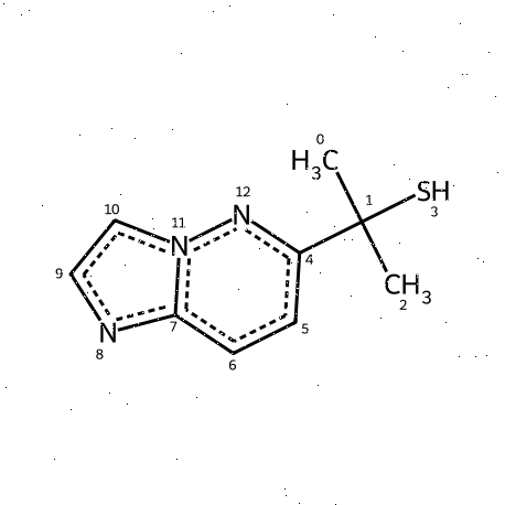 CC(C)(S)c1ccc2nccn2n1